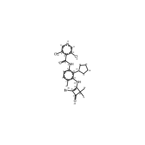 Cc1ccc(NC(=O)c2c(Cl)cncc2Cl)c(N2CCCC2)c1NC1=C(Br)C(=O)C1(C)C